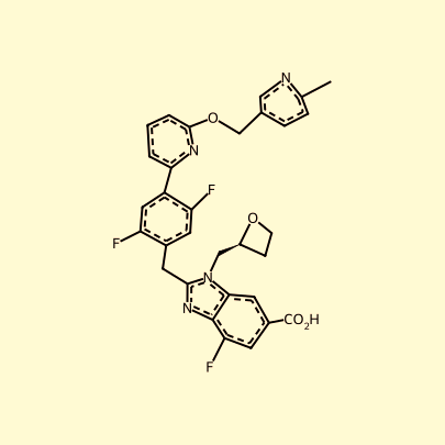 Cc1ccc(COc2cccc(-c3cc(F)c(Cc4nc5c(F)cc(C(=O)O)cc5n4C[C@@H]4CCO4)cc3F)n2)cn1